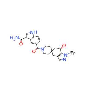 CC(C)n1ncc2c1C(=O)CC1(CCN(C(=O)c3ccc4[nH]cc(C(N)=O)c4c3)CC1)C2